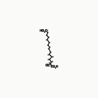 O=C(O)CCCCCCCCCCCCCC(Cl)C(=O)O